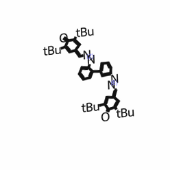 CC(C)(C)C1=CC(=C/N=N\c2ccccc2-c2cccc(/N=N/C=C3C=C(C(C)(C)C)C(=O)C(C(C)(C)C)=C3)c2)C=C(C(C)(C)C)C1=O